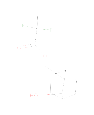 CC(F)(F)C(=O)OCC1C2CCC(CC2)C1O